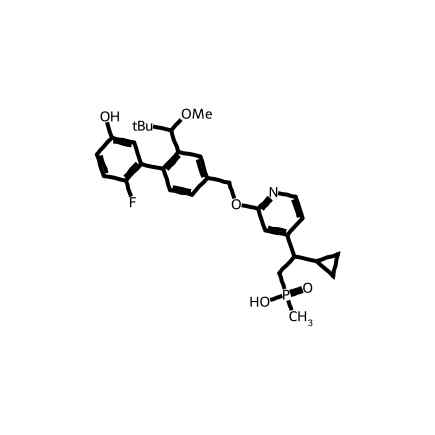 COC(c1cc(COc2cc(C(CP(C)(=O)O)C3CC3)ccn2)ccc1-c1cc(O)ccc1F)C(C)(C)C